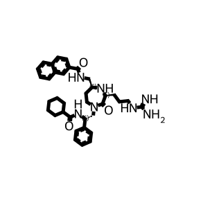 N=C(N)NCCC[C@@H]1N[C@H](CNC(=O)c2ccc3ccccc3c2)CCN(C[C@@H](NC(=O)C2CCCCC2)c2ccccc2)C1=O